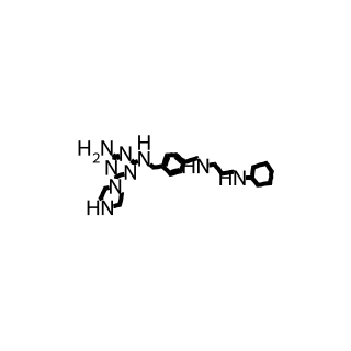 Nc1nc(NCc2ccc(CNCCCNC3CCCCC3)cc2)nc(N2CCNCC2)n1